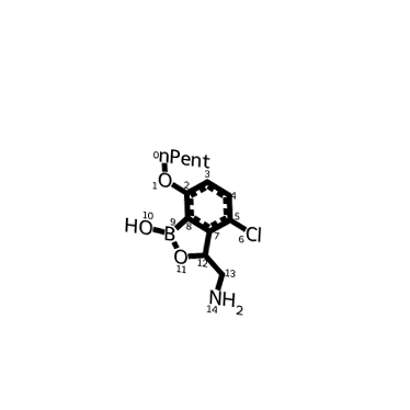 CCCCCOc1ccc(Cl)c2c1B(O)OC2CN